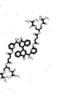 C=C(C)C(=O)OCC(COC(=O)C(=C)C)OC(=O)CCC(=O)Oc1cccc(C(C)C2=C/C(=C3/C=C(C(C)c4cccc(OC(=O)CCC(=O)OC(COC(=O)C(=C)C)COC(=O)C(=C)C)n4)C(=O)c4ccccc43)c3ccccc3C2=O)n1